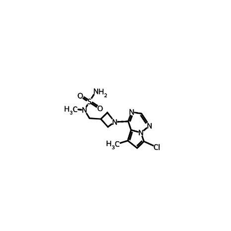 Cc1cc(Cl)n2ncnc(N3CC(CN(C)S(N)(=O)=O)C3)c12